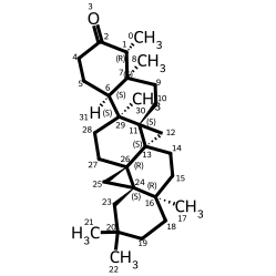 C[C@H]1C(=O)CC[C@H]2[C@]1(C)CC[C@@]13C[C@@]14CC[C@@]1(C)CCC(C)(C)C[C@]15C[C@]54CC[C@@]23C